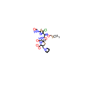 CSCO/N=C(\C(=O)NC1C(=O)N2C(C(=O)[O-])=C(C[n+]3ccccc3)CS[C@H]12)c1nc(NC=O)sc1Cl